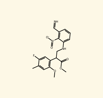 COC(=O)C(CNc1cccc(C=N)c1[N+](=O)[O-])c1cc(F)c(C)cc1OC